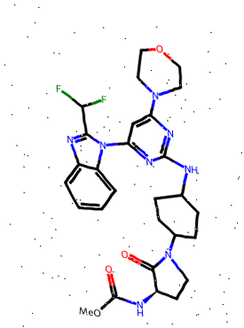 COC(=O)N[C@@H]1CCN(C2CCC(Nc3nc(N4CCOCC4)cc(-n4c(C(F)F)nc5ccccc54)n3)CC2)C1=O